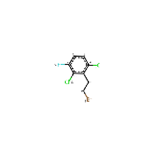 Fc1ccc(Cl)c(CCBr)c1Cl